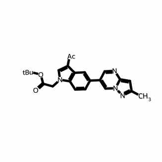 CC(=O)c1cn(CC(=O)OC(C)(C)C)c2ccc(-c3cnc4cc(C)nn4c3)cc12